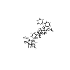 Cc1cccc(C2CCCCC2)c1OC1(C(=O)NS(=O)(=O)c2cccc(N3CCC(C)(NC(=O)OC(C)(C)C)C3)n2)CC1